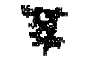 CN[C@H](CC(C)C)C(=O)N[C@H]1C(=O)N[C@@H](CC(N)=O)C(=O)N[C@H]2C(=O)N[C@H]3C(=O)N[C@H](C(=O)N[C@@H](C(=O)O)c4cc(O)cc(O)c4-c4cc3ccc4O)[C@H](OC3C[C@](C)(NCc4c[nH]cn4)[C@@H](O)[C@H](C)O3)c3ccc(c(Cl)c3)Oc3cc2cc(c3O[C@@H]2O[C@H](CO)[C@@H](O)[C@H](O)[C@H]2O)Oc2ccc(cc2Cl)[C@H]1O